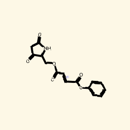 O=C1CC(=O)C(COC(=O)/C=C/C(=O)Oc2ccccc2)N1